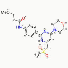 COCCC(=O)Nc1ccc(-c2nc(CS(C)(=O)=O)cc(N3CCOCC3)n2)cc1